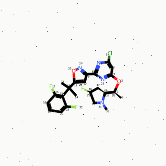 C[C@H](Oc1cc(Cl)nc(-c2cc(C(C)(C)c3c(F)cccc3F)on2)n1)[C@@H]1C[C@H](F)CN1C